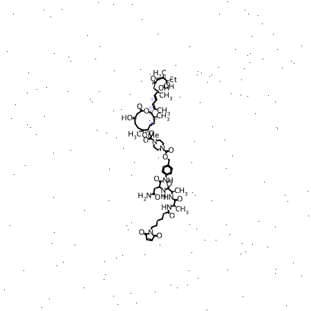 CC[C@H](O)[C@@H](C)[C@H]1O[C@@H]1CC(C)(O)/C=C/C=C(\C)[C@H]1OC(=O)C[C@H](O)CC[C@@](C)(OC)[C@@H](OC(=O)N2CCN(C(=O)OCc3ccc(NC(=O)C(CC(N)=O)NC(=O)C(C)NC(=O)C(C)NC(=O)CCCCCN4C(=O)C=CC4=O)cc3)CC2)/C=C/[C@@H]1C